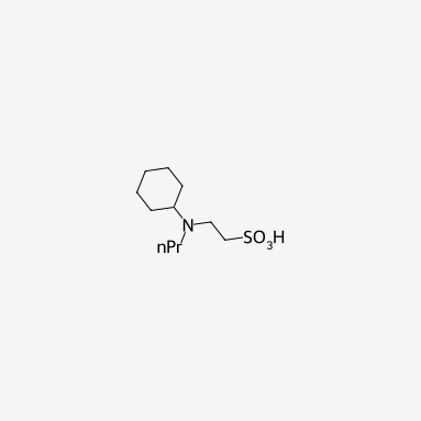 CCCN(CCS(=O)(=O)O)C1CCCCC1